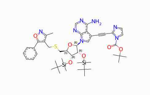 Cc1noc(-c2ccccc2)c1CSC[C@H]1O[C@@H](n2cc(C#Cc3nccn3C(=O)OC(C)(C)C)c3c(N)ncnc32)[C@H](O[Si](C)(C)C(C)(C)C)[C@@H]1O[Si](C)(C)C(C)(C)C